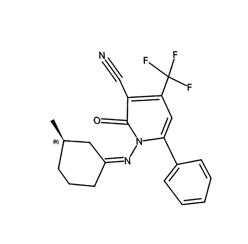 C[C@@H]1CCCC(=Nn2c(-c3ccccc3)cc(C(F)(F)F)c(C#N)c2=O)C1